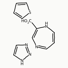 O=C(O)C1=CN=CC=CN1.c1c[nH]nn1.c1ccsc1